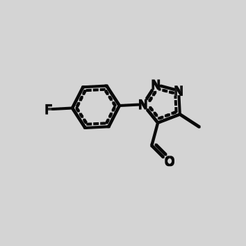 Cc1nnn(-c2ccc(F)cc2)c1C=O